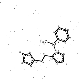 CN(c1ccncc1)n1cccc1CCc1ccsc1